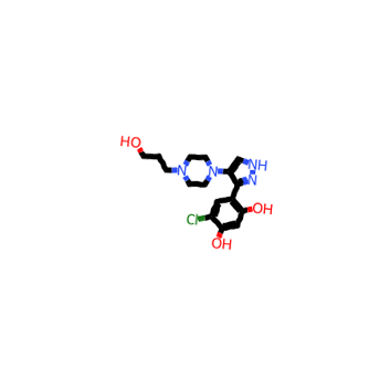 OCCCN1CCN(c2c[nH]nc2-c2cc(Cl)c(O)cc2O)CC1